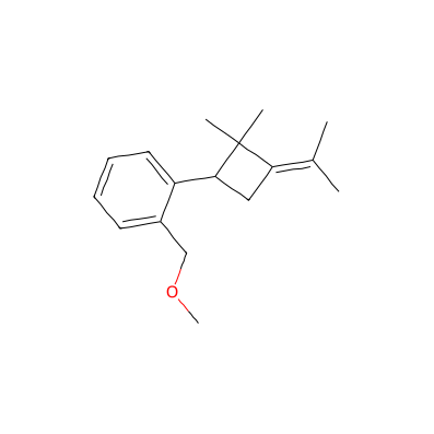 COCc1ccccc1C1CC(=C(C)C)C1(C)C